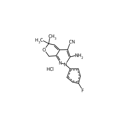 CC1(C)C=C2C(=NN(c3ccc(F)cc3)C(N)=C2C#N)CO1.Cl